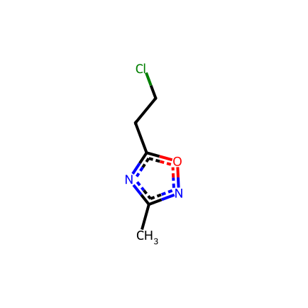 Cc1noc(CCCl)n1